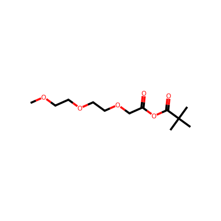 COCCOCCOCC(=O)OC(=O)C(C)(C)C